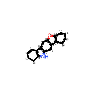 C1=Cc2c([nH]c3cc4c(cc23)oc2ccccc24)CC1